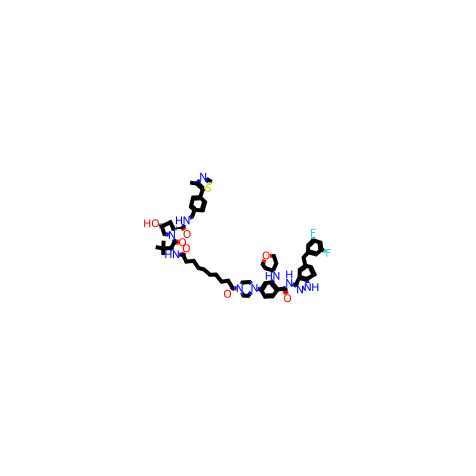 Cc1ncsc1-c1ccc(CNC(=O)[C@@H]2C[C@@H](O)CN2C(=O)C(NC(=O)CCCCCCCCC(=O)N2CCN(c3ccc(C(=O)Nc4n[nH]c5ccc(Cc6cc(F)cc(F)c6)cc45)c(NC4CCOCC4)c3)CC2)C(C)(C)C)cc1